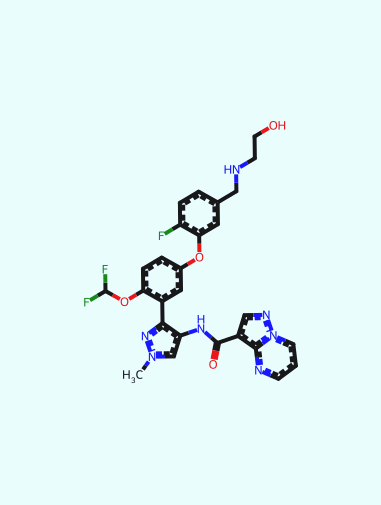 Cn1cc(NC(=O)c2cnn3cccnc23)c(-c2cc(Oc3cc(CNCCO)ccc3F)ccc2OC(F)F)n1